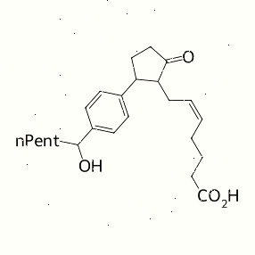 CCCCCC(O)c1ccc(C2CCC(=O)C2C/C=C\CCCC(=O)O)cc1